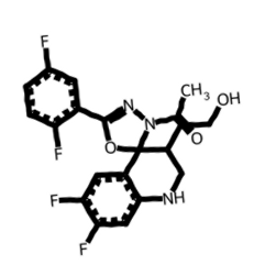 CC(=O)N1N=C(c2cc(F)ccc2F)OC12c1cc(F)c(F)cc1NCC2CCO